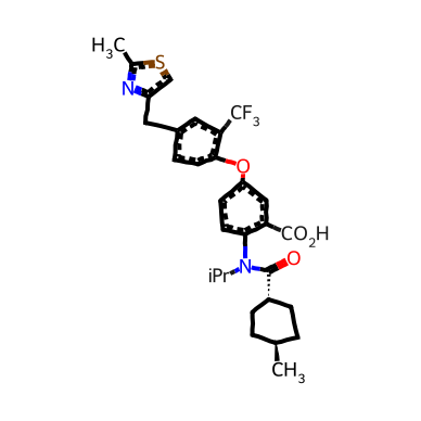 Cc1nc(Cc2ccc(Oc3ccc(N(C(=O)[C@H]4CC[C@H](C)CC4)C(C)C)c(C(=O)O)c3)c(C(F)(F)F)c2)cs1